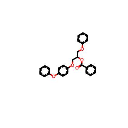 O=C(OC(COc1ccccc1)COc1ccc(Oc2ccccc2)cc1)c1ccccc1